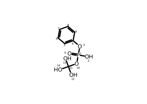 O=P(O)(Oc1ccccc1)OC(O)(O)O